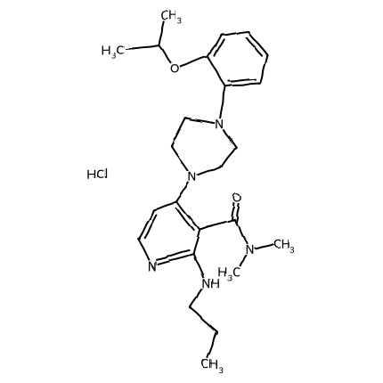 CCCNc1nccc(N2CCN(c3ccccc3OC(C)C)CC2)c1C(=O)N(C)C.Cl